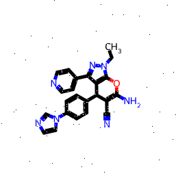 CCn1nc(-c2ccncc2)c2c1OC(N)=C(C#N)C2c1ccc(-n2ccnc2)cc1